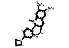 COc1cc2cc3c([n+](C)c2cc1OC)-c1ccc(N2CCC2)cc1OC3